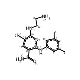 Cc1cc(C)cc(Nc2nc(NCCN)c(Cl)cc2C(N)=O)c1